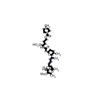 CO[C@H](C(C)OC(C)(C)C[C@H](C)/C=C/C=C(\C)[C@H]1O[C@@H](CC(=O)N[C@H](CCCOC(=O)N2CCN(C)CC2)C(=O)O)CC[C@@H]1C)[C@@H](C)O